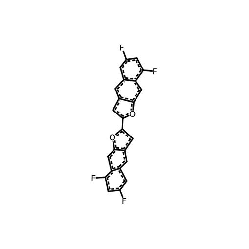 Fc1cc(F)c2cc3oc(-c4cc5cc6cc(F)cc(F)c6cc5o4)cc3cc2c1